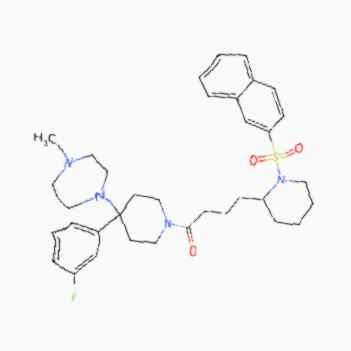 CN1CCN(C2(c3cccc(F)c3)CCN(C(=O)CCCC3CCCCN3S(=O)(=O)c3ccc4ccccc4c3)CC2)CC1